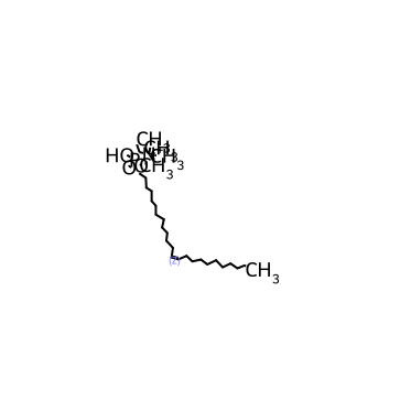 CCCCCCCCCC/C=C\CCCCCCCCCCCCOP(=O)(O)C(CC)[N+](C)(C)C